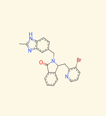 Cc1nc2cc(CN3C(=O)c4ccccc4C3Cc3ncccc3Br)ccc2[nH]1